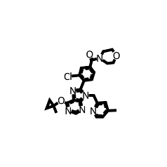 Cc1ccnc(Cn2c(-c3ccc(C(=O)N4CCOCC4)cc3Cl)nc3c(OC4(C)CC4)ncnc32)c1